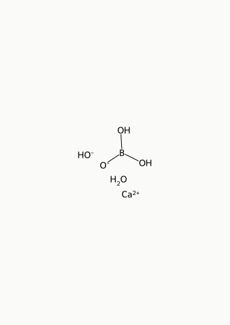 O.[Ca+2].[O-]B(O)O.[OH-]